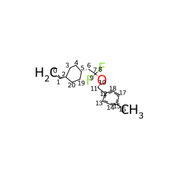 C=C[C@H]1CC[C@H](CC(F)(F)OCc2ccc(C)cc2)CC1